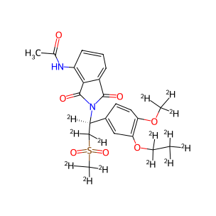 [2H]C([2H])([2H])Oc1ccc([C@]([2H])(N2C(=O)c3cccc(NC(C)=O)c3C2=O)C([2H])([2H])S(=O)(=O)C([2H])([2H])[2H])cc1OC([2H])([2H])C([2H])([2H])[2H]